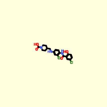 O=C(Nc1ccc(NCC2CCN(C(=O)O)CC2)cc1Cl)c1cc(Cl)ccc1O